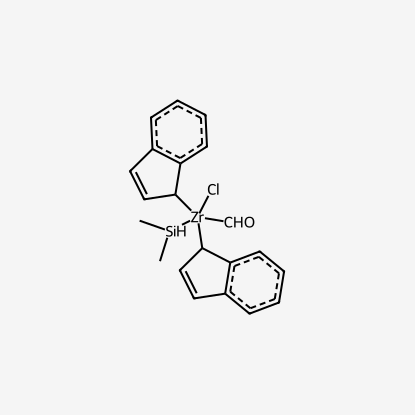 C[SiH](C)[Zr]([Cl])([CH]=O)([CH]1C=Cc2ccccc21)[CH]1C=Cc2ccccc21